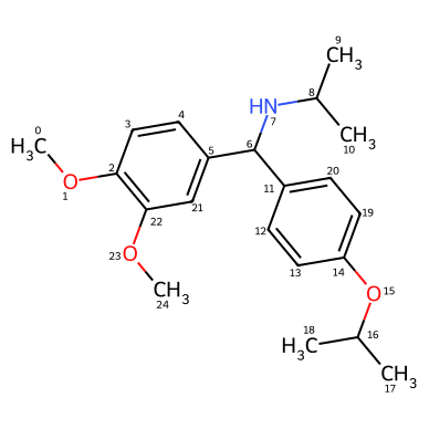 COc1ccc(C(NC(C)C)c2ccc(OC(C)C)cc2)cc1OC